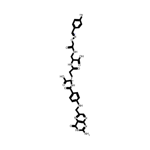 Nc1nc2ncc(CNc3ccc(C(=O)N[C@@H](CCC(=O)NC(CNC(=O)CO/N=C/c4ccc([18F])cc4)C(=O)O)C(=O)O)cc3)nc2c(=O)[nH]1